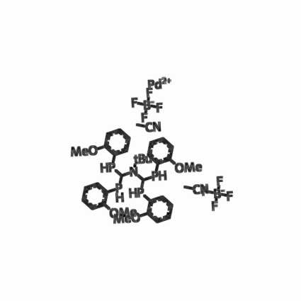 CC#N.CC#N.COc1ccccc1PC(Pc1ccccc1OC)N(C(Pc1ccccc1OC)Pc1ccccc1OC)C(C)(C)C.F[B-](F)(F)F.F[B-](F)(F)F.[Pd+2]